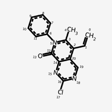 C=Cc1c(C)n(-c2ccccc2)c(=O)c2nc(Cl)ncc12